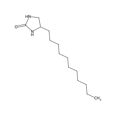 CCCCCCCCCCCC1CNC(=O)N1